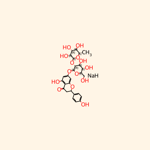 C[C@@H]1O[C@@H](O[C@H]2[C@H](Oc3cc(O)c4c(c3)OC(c3ccc(O)cc3)CC4=O)O[C@H](CO)[C@@H](O)[C@@H]2O)[C@H](O)[C@H](O)[C@H]1O.[NaH]